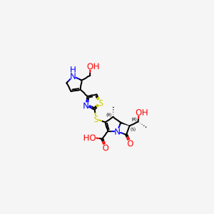 C[C@H]1C(Sc2nc(C3=CCNC3CO)cs2)=C(C(=O)O)N2C(=O)[C@H]([C@@H](C)O)C12